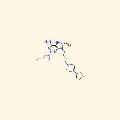 CCCCNc1nc(N)c2c(n1)N(CCCCN1CCN(C3CCCC3)CC1)C(C=O)N2